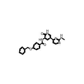 CNc1nccc(-c2c[nH]c(=O)c(NC(=O)c3ccc(OCc4ccccc4)cc3)c2)n1